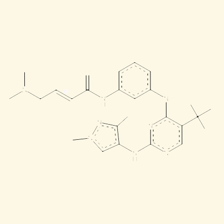 CN(C)C/C=C/C(=O)Nc1cccc(Nc2nc(Nc3cn(C)nc3Cl)ncc2C(F)(F)F)c1